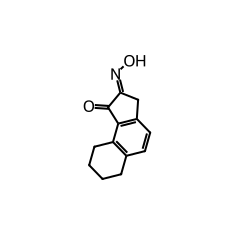 O=C1C(=NO)Cc2ccc3c(c21)CCCC3